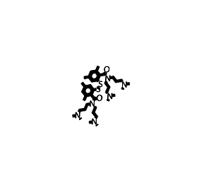 Cc1cc(C)c(C(=O)N(CCCN(C)C)CCCN(C)C)c(SSc2cc(C)cc(C)c2C(=O)N(CCCN(C)C)CCCN(C)C)c1